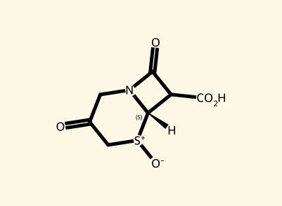 O=C1CN2C(=O)C(C(=O)O)[C@@H]2[S+]([O-])C1